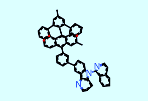 Cc1cc(-c2ccccc2)c(-c2c3ccccc3c(-c3cccc(-c4ccc5c(c4)c4ncccc4n5-c4nccc5ccccc45)c3)c3cc(C)ccc23)c(-c2ccccc2)c1